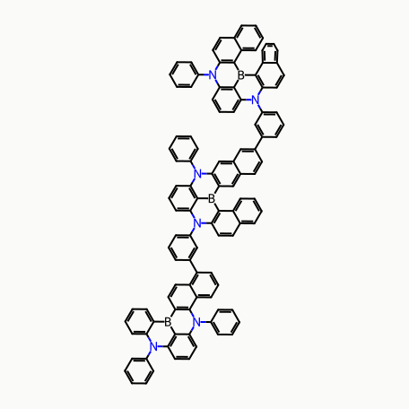 c1ccc(N2c3cc4cc(-c5cccc(N6c7cccc8c7B(c7c(ccc9ccccc79)N8c7ccccc7)c7c6ccc6ccccc76)c5)ccc4cc3B3c4c2cccc4N(c2cccc(-c4cccc5c6c(ccc45)B4c5ccccc5N(c5ccccc5)c5cccc(c54)N6c4ccccc4)c2)c2ccc4ccccc4c23)cc1